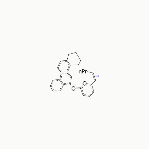 CCC/C=C\c1cccc(=O)o1.c1ccc2c(c1)ccc1c3c(ccc12)CCCC3